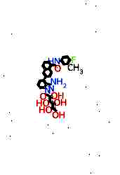 Cc1cc(NC(=O)c2cccc3cc(-c4cccc5c4c(N)nn5C(=O)[C@H](O)[C@@H](O)[C@H](O)[C@H](O)CO)ccc23)ccc1F